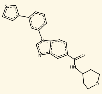 O=C(NC1CCOCC1)c1ccc2c(c1)ncn2-c1cccc(-c2ccsc2)c1